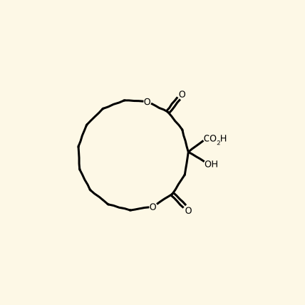 O=C1CC(O)(C(=O)O)CC(=O)OCCCCCCCCO1